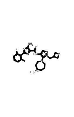 Nc1sc(-c2c(F)cccc2F)nc1C(=O)Nc1cnn(CC2COC2)c1N1CCC[C@@H](N)CC1